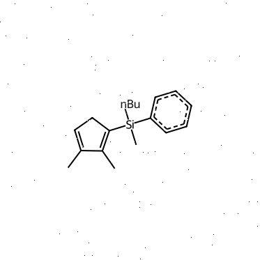 CCCC[Si](C)(C1=C(C)C(C)=CC1)c1ccccc1